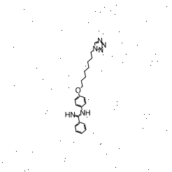 N=C(Nc1ccc(OCCCCCCCCn2cnnn2)cc1)c1ccccc1